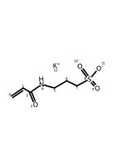 C=CC(=O)NCCCS(=O)(=O)[O-].[K+]